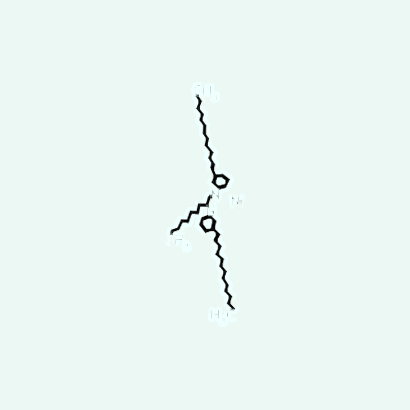 CCCCCCCCCCCCC=Cc1cccc(N=CC(CCCCCCCC)=Nc2cccc(C=CCCCCCCCCCCCC)c2)c1.[Ni]